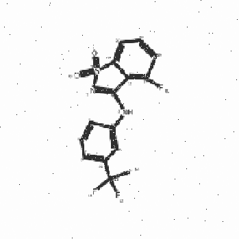 O=S1(=O)N=C(Nc2cccc(C(F)(F)F)c2)c2c(F)cccc21